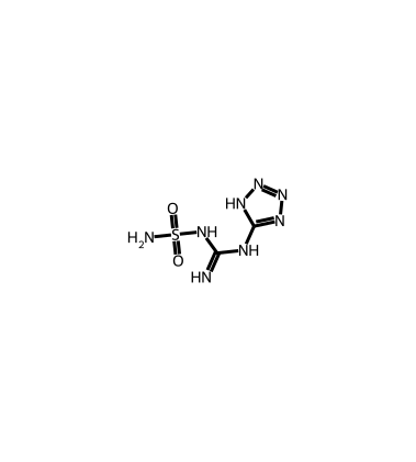 N=C(Nc1nnn[nH]1)NS(N)(=O)=O